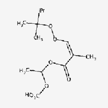 CC(=COOC(C)(C)C(C)C)C(=O)OC(C)OC(=O)O